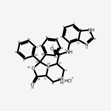 Cl.O=C(Nc1cccc2[nH]cnc12)C1CNCC2C(=O)OC(c3ccccc3)(c3ccccc3)N12